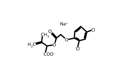 C=C(C)C(OC(=O)COc1ccc(Cl)cc1Cl)C(=O)[O-].[Na+]